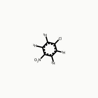 [2H]c1c([2H])c([N+](=O)[O-])c([2H])c([2H])c1Cl